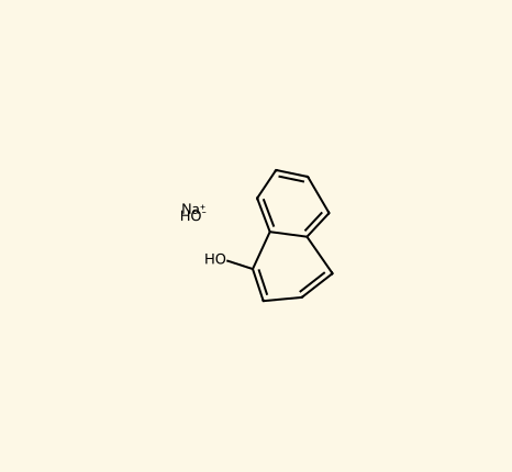 Oc1cccc2ccccc12.[Na+].[OH-]